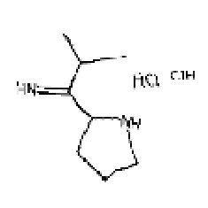 CC(C)C(=N)C1CCCN1.Cl.Cl